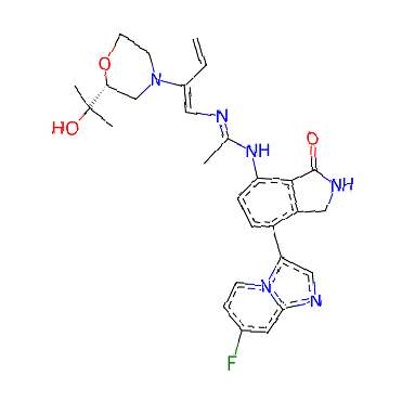 C=C/C(=C\N=C(/C)Nc1ccc(-c2cnc3cc(F)ccn23)c2c1C(=O)NC2)N1CCO[C@@H](C(C)(C)O)C1